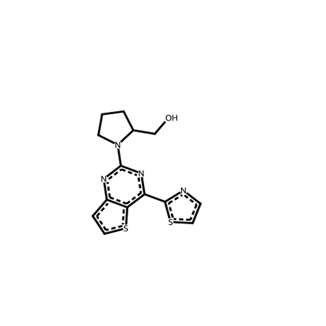 OCC1CCCN1c1nc(-c2nccs2)c2sccc2n1